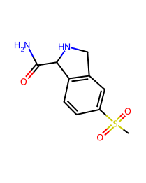 CS(=O)(=O)c1ccc2c(c1)CNC2C(N)=O